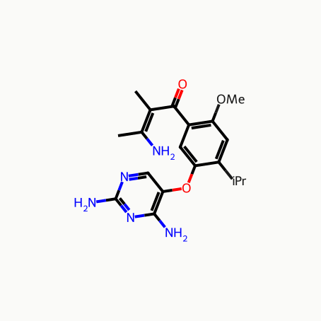 COc1cc(C(C)C)c(Oc2cnc(N)nc2N)cc1C(=O)C(C)=C(C)N